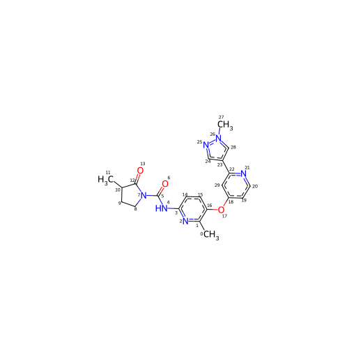 Cc1nc(NC(=O)N2CCC(C)C2=O)ccc1Oc1ccnc(-c2cnn(C)c2)c1